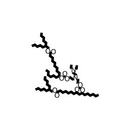 CCCCCCC(CCCCCCCCC(=O)OCC(CCCCC)CCCCC)OC(=O)OCCN(CCOC(=O)OC(CCCCCC)CCCCCCCCC(=O)OCC(CCCCC)CCCCC)CCN(CC)CC